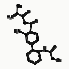 C=C(C(=O)OC(=O)c1ccc(-c2ccccc2NC(=O)OC(C)(C)C)cc1[N+](=O)[O-])C(C)(C)C